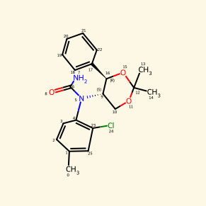 Cc1ccc(N(C(N)=O)[C@H]2COC(C)(C)O[C@@H]2c2ccccc2)c(Cl)c1